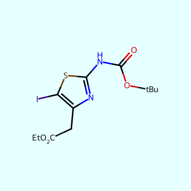 CCOC(=O)Cc1nc(NC(=O)OC(C)(C)C)sc1I